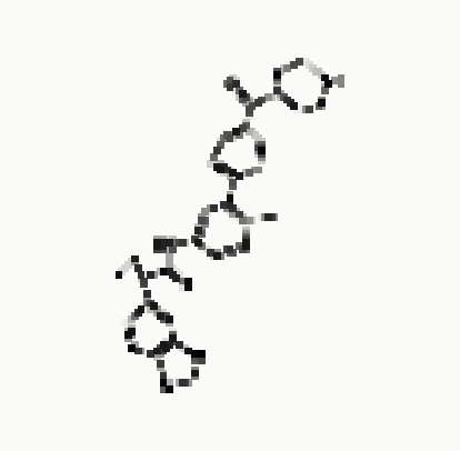 Cc1ccc(NC(=O)C2(c3ccc4c(c3)OCO4)CC2)cc1-c1ccc(C(=O)N2CCNCC2)cc1